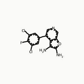 Nc1oc2cncc(-c3cc(Cl)c(F)c(Cl)c3)c2c1N